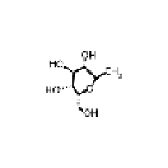 CC1O[C@H](CO)[C@H](O)[C@@H](O)[C@@H]1O